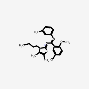 CCCCn1c(C)c(C)s/c1=N\C(=Nc1cccc(C)c1)c1cc(Cl)ccc1OC